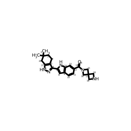 CC1(C)CCc2c(-c3cc4ccc(C(=O)N5CC6(CNC6)C5)cc4[nH]3)n[nH]c2C1